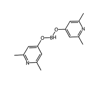 Cc1cc(OBOc2cc(C)nc(C)c2)cc(C)n1